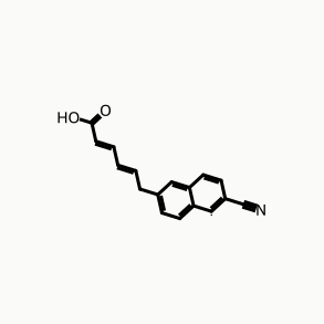 N#Cc1[c]c2ccc(C/C=C/C=C/C(=O)O)cc2cc1